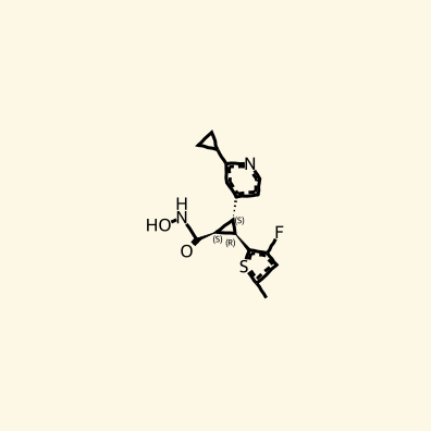 Cc1cc(F)c([C@H]2[C@@H](C(=O)NO)[C@@H]2c2ccnc(C3CC3)c2)s1